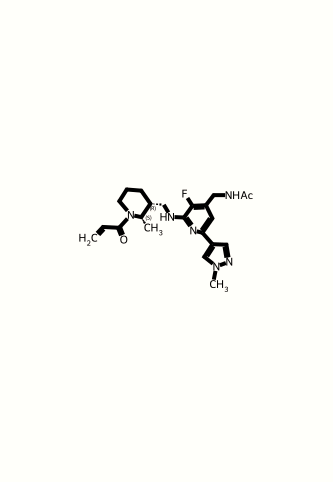 C=CC(=O)N1CCC[C@H](CNc2nc(-c3cnn(C)c3)cc(CNC(C)=O)c2F)[C@@H]1C